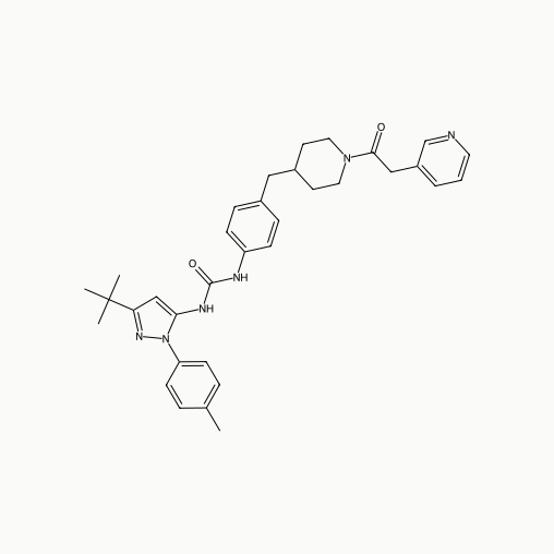 Cc1ccc(-n2nc(C(C)(C)C)cc2NC(=O)Nc2ccc(CC3CCN(C(=O)Cc4cccnc4)CC3)cc2)cc1